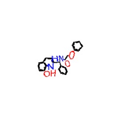 O=C(COc1ccccc1)NC(c1ccccc1)c1ccc2cccc(O)c2n1